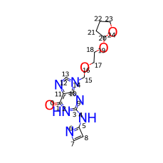 O=c1[nH]c(NC2=NC=C2)nc2c1ncn2COCCOC1CCCO1